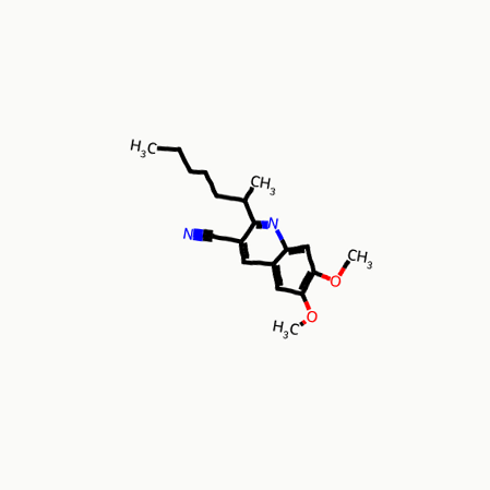 CCCCCC(C)c1nc2cc(OC)c(OC)cc2cc1C#N